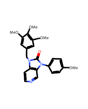 COc1ccc(-n2c(=O)n(Cc3cc(OC)c(OC)c(OC)c3)c3ccncc32)cc1